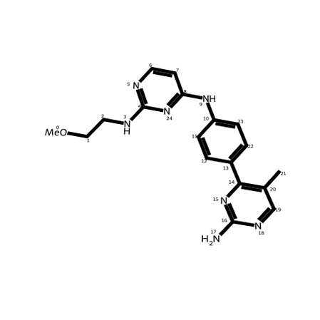 COCCNc1nccc(Nc2ccc(-c3nc(N)ncc3C)cc2)n1